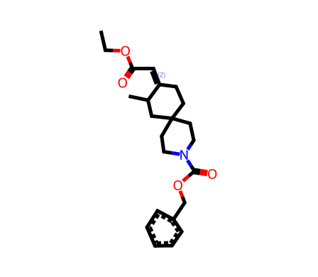 CCOC(=O)/C=C1/CCC2(CCN(C(=O)OCc3ccccc3)CC2)CC1C